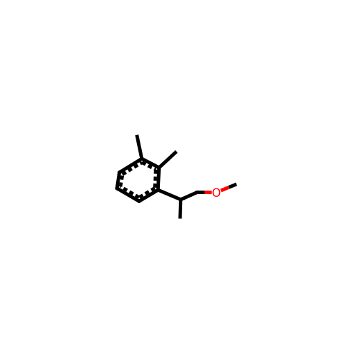 COC[C](C)c1cccc(C)c1C